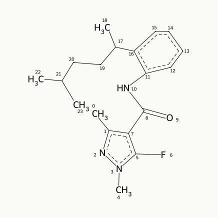 Cc1nn(C)c(F)c1C(=O)Nc1ccccc1C(C)CCC(C)C